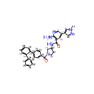 Cn1cc(-c2cnc(N)c(C(=O)N[C@@H]3CCN(C(=O)c4ccc(-c5ccccc5-c5ccccc5)cc4)C3)c2)cn1